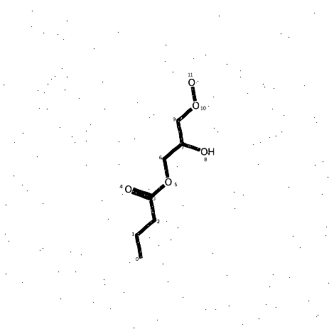 CCCC(=O)OCC(O)CO[O]